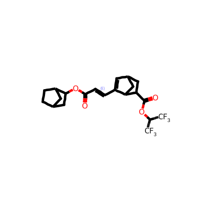 O=C(/C=C/C1=CC2CC(C(=O)OC(C(F)(F)F)C(F)(F)F)C1C2)OC1CC2CCC1C2